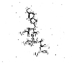 C=C(CN(C)C)C(=O)NC[C@@H](NC(=O)[C@H](Cc1nc2ccc(CC)cc2s1)NC(=O)CC)[C@@H](C)CC